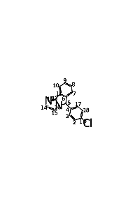 Clc1ccc(C2c3ccccc3-c3nccn32)cc1